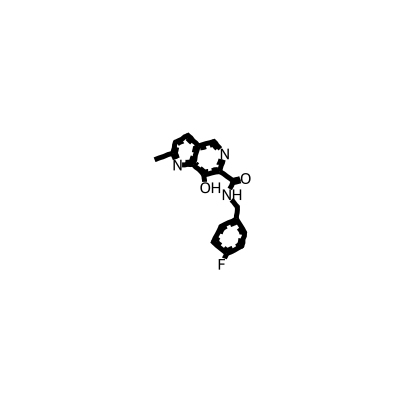 Cc1ccc2cnc(C(=O)NCc3ccc(F)cc3)c(O)c2n1